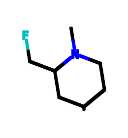 CN1CC[CH]CC1CF